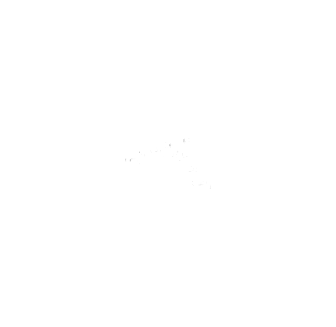 O.O.O.O.[Cu].[GaH3].[InH3].[Zn]